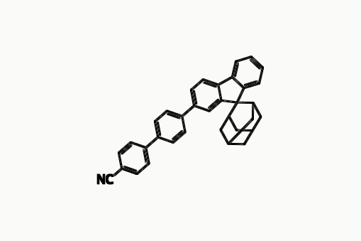 N#Cc1ccc(-c2ccc(-c3ccc4c(c3)C3(c5ccccc5-4)C4CC5CC(C4)CC3C5)cc2)cc1